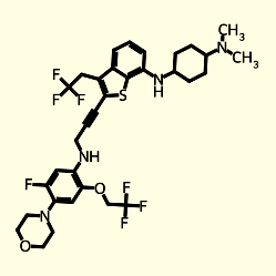 CN(C)C1CCC(Nc2cccc3c(CC(F)(F)F)c(C#CCNc4cc(F)c(N5CCOCC5)cc4OCC(F)(F)F)sc23)CC1